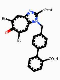 CCCCCc1nc2cc(CC)c(=O)c(CC)cc2n1Cc1ccc(-c2ccccc2C(=O)O)cc1